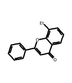 CCc1cccc2c(=O)cc(-c3ccccc3)oc12